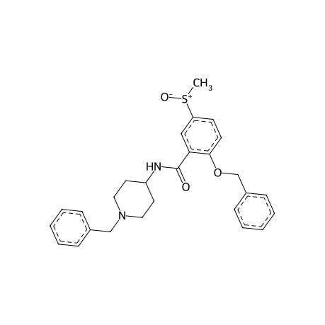 C[S+]([O-])c1ccc(OCc2ccccc2)c(C(=O)NC2CCN(Cc3ccccc3)CC2)c1